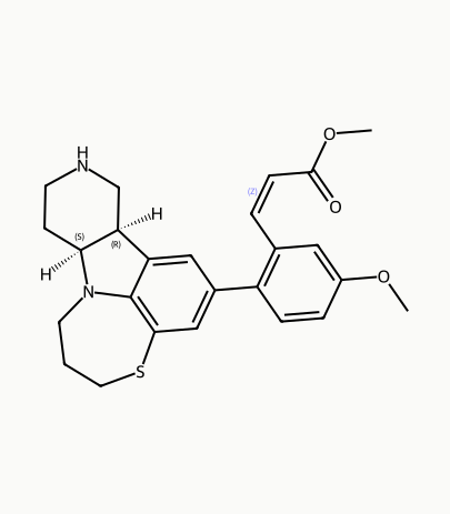 COC(=O)/C=C\c1cc(OC)ccc1-c1cc2c3c(c1)[C@@H]1CNCC[C@@H]1N3CCCS2